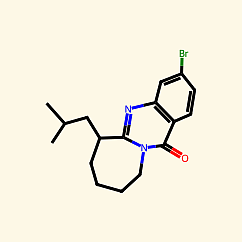 CC(C)CC1CCCCn2c1nc1cc(Br)ccc1c2=O